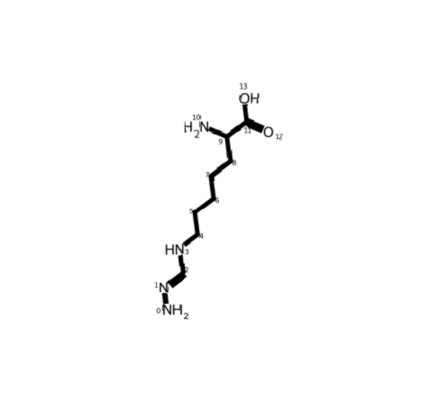 NN=CNCCCCCC(N)C(=O)O